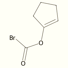 O=C(Br)OC1=CCCC1